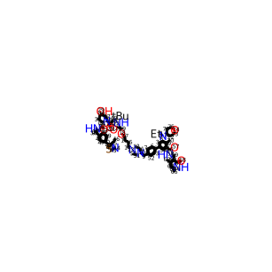 CCN(c1cc(-c2ccc(CN3CCN(CCCCOCC(=O)NC(C(=O)N4C[C@H](O)C[C@H]4C(=O)N[C@@H](C)c4ccc(-c5scnc5C)cc4)C(C)(C)C)CC3)cc2)cc(C(=O)NCc2c(C)cc(C)[nH]c2=O)c1C)C1CCOCC1